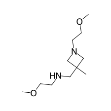 COCCNCC1(C)CN(CCOC)C1